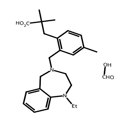 CCN1CCN(Cc2cc(C)ccc2CC(C)(C)C(=O)O)Cc2ccccc21.O=CO